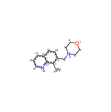 CC(C)c1c(CN2CCOCC2)ccc2cccnc12